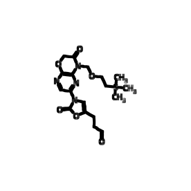 CS(C)(C)CCOCN1C(=O)COc2ncc(-n3cc(CCC=O)oc3=O)nc21